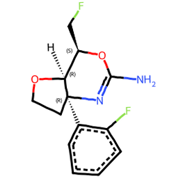 NC1=N[C@@]2(c3ccccc3F)CCO[C@H]2[C@@H](CF)O1